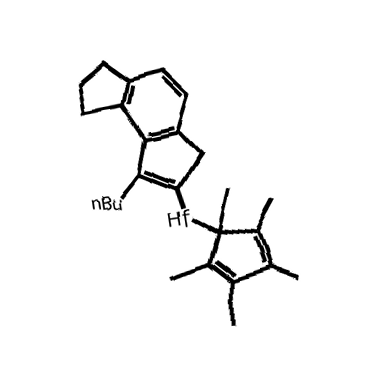 CCCCC1=[C]([Hf][C]2(C)C(C)=C(C)C(C)=C2C)Cc2ccc3c(c21)CCC3